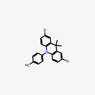 CC1(C)c2cc(Br)ccc2N(c2ccc(C#N)cc2)c2ccc(Br)cc21